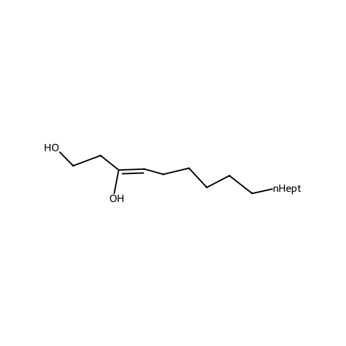 CCCCCCCCCCCCC=C(O)CCO